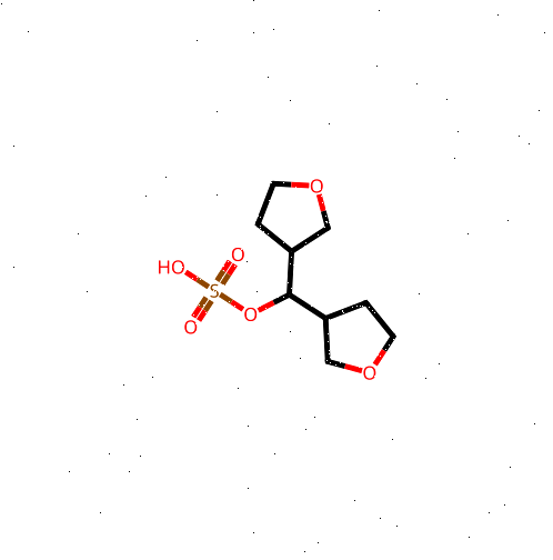 O=S(=O)(O)OC(C1CCOC1)C1CCOC1